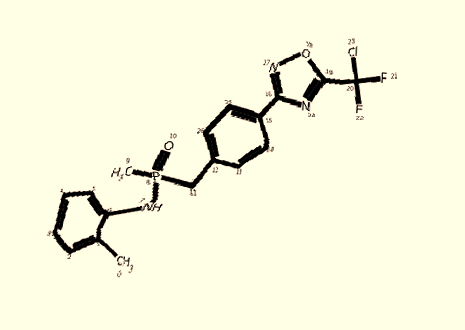 Cc1ccccc1NP(C)(=O)Cc1ccc(-c2noc(C(F)(F)Cl)n2)cc1